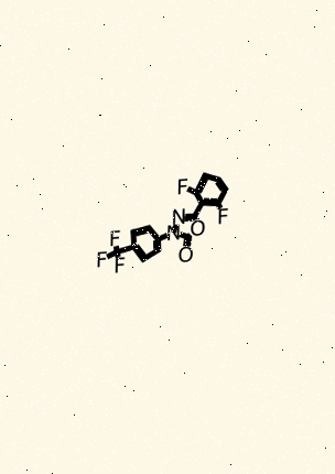 O=c1oc(-c2c(F)cccc2F)nn1-c1ccc(C(F)(F)F)cc1